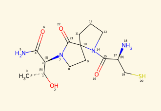 C[C@@H](O)[C@@H](C(N)=O)N1CCC2(CCCN2C(=O)[C@@H](N)CS)C1=O